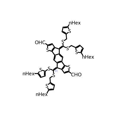 CCCCCCc1ccc(CSC(SCc2ccc(CCCCCC)s2)=C2c3cc4c(cc3-c3sc(C=O)cc32)/C(=C(/SCc2ccc(CCCCCC)s2)Sc2ccc(CCCCCC)s2)c2cc(C=O)sc2-4)s1